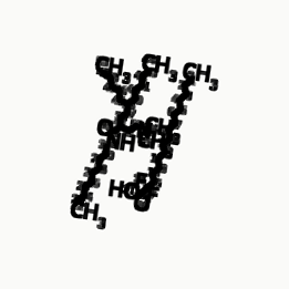 CCCCCCCCCCCCCCCCC(F)(F)C(=O)O.CCCCCCCCCCNC(=O)C(CCC(CCCCCC)CCCCCC)CCN(C)C